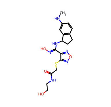 CNc1ccc2c(c1)C(N/C(=N\O)c1nonc1SCC(=O)NCCO)CC2